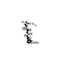 COc1ccc2cc(C(=O)NCC(=O)NCCN(C)C)oc2c1